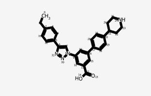 CCc1ccc(-c2cn(-c3cc(C(=O)O)cc(-c4ccc(C5CCNCC5)cc4)c3)nn2)cc1